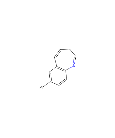 CC(C)c1ccc2c(c1)C=CCC=N2